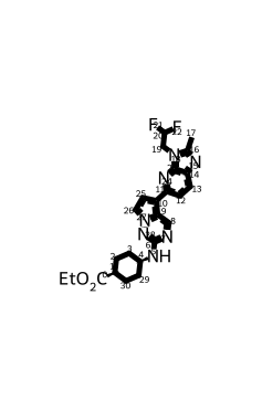 CCOC(=O)[C@H]1CC[C@@H](Nc2ncc3c(-c4ccc5nc(C)n(CC(F)F)c5n4)ccn3n2)CC1